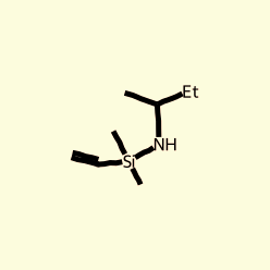 C=C[Si](C)(C)NC(C)CC